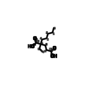 CCCCCC(CC)(CCC(=O)O)C(=O)O